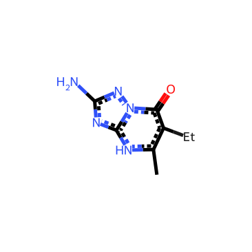 CCc1c(C)[nH]c2nc(N)nn2c1=O